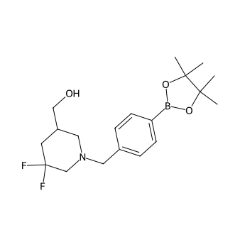 CC1(C)OB(c2ccc(CN3CC(CO)CC(F)(F)C3)cc2)OC1(C)C